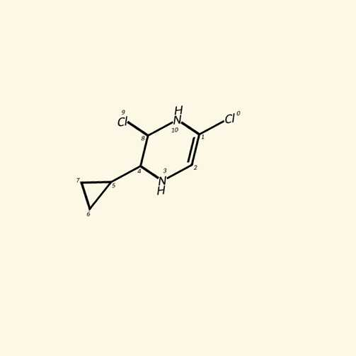 ClC1=CNC(C2CC2)C(Cl)N1